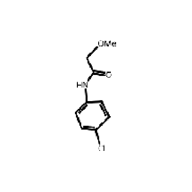 [CH2]OCC(=O)Nc1ccc(Cl)cc1